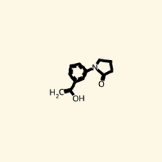 C=C(O)c1cccc(N2CCCC2=O)c1